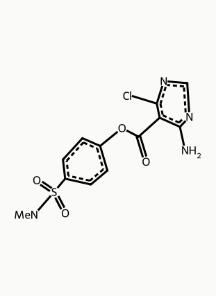 CNS(=O)(=O)c1ccc(OC(=O)c2c(N)ncnc2Cl)cc1